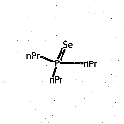 CCCP(=[Se])(CCC)CCC